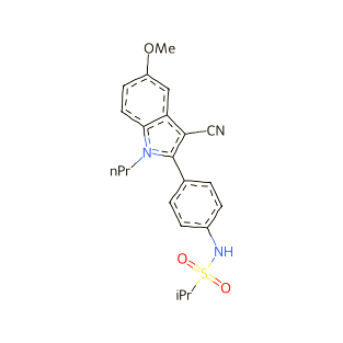 CCCn1c(-c2ccc(NS(=O)(=O)C(C)C)cc2)c(C#N)c2cc(OC)ccc21